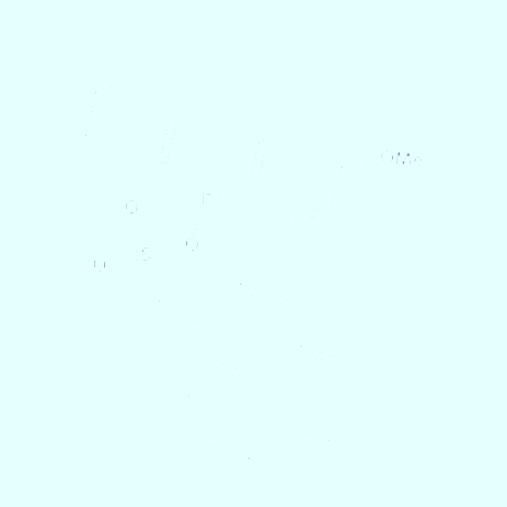 COc1ccc([I+](OS(=O)(=O)c2ccc3ccc4cccc5ccc2c3c45)c2ccccc2)cc1